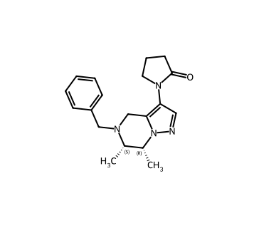 C[C@@H]1[C@H](C)N(Cc2ccccc2)Cc2c(N3CCCC3=O)cnn21